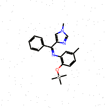 Cc1ccc(O[Si](C)(C)C)c(N=C(c2ccccc2)c2cn(C)cn2)c1